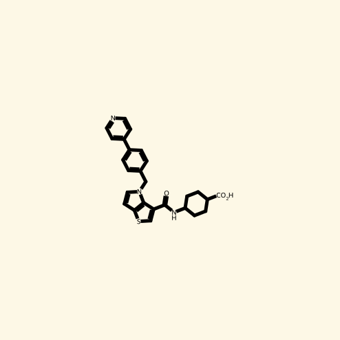 O=C(NC1CCC(C(=O)O)CC1)c1csc2ccn(Cc3ccc(-c4ccncc4)cc3)c12